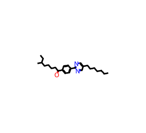 CCCCCCCc1cnc(-c2ccc(C(=O)CCCCC(C)CC)cc2)nc1